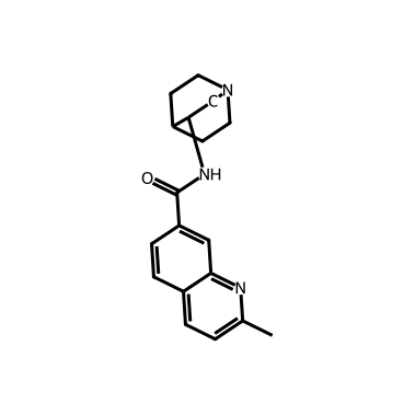 Cc1ccc2ccc(C(=O)NC3CN4CCC3CC4)cc2n1